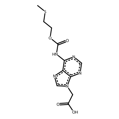 CSCCOC(=O)Nc1ncnc2c1ncn2CC(=O)O